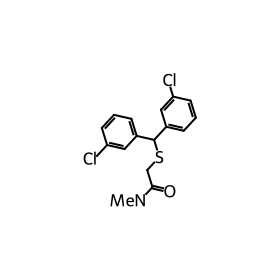 CNC(=O)CSC(c1cccc(Cl)c1)c1cccc(Cl)c1